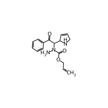 C=CCOC(=O)N(N)C(C(=O)c1ccccc1)C1C=CCN1